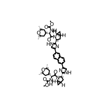 COC(=O)NC(C(=O)N1[C@@H]2C[C@@H]2C[C@H]1c1nc(-c2ccc3cc(-c4c[nH]c([C@@H]5C[C@H]6C[C@H]6N5C(=O)C(NC(=O)OC)[C@H]5C[C@@H](C)O[C@@H](C)C5)n4)ccc3c2)c[nH]1)[C@H]1C[C@@H](C)O[C@@H](C)C1